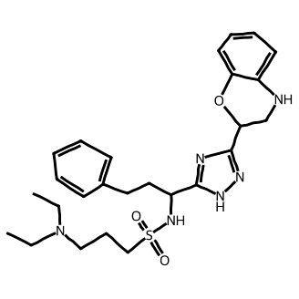 CCN(CC)CCCS(=O)(=O)NC(CCc1ccccc1)c1nc(C2CNc3ccccc3O2)n[nH]1